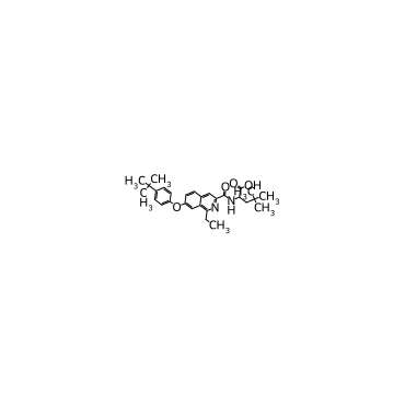 CCc1nc(C(=O)NC(CC(C)(C)C)C(=O)O)cc2ccc(Oc3ccc(C(C)(C)C)cc3)cc12